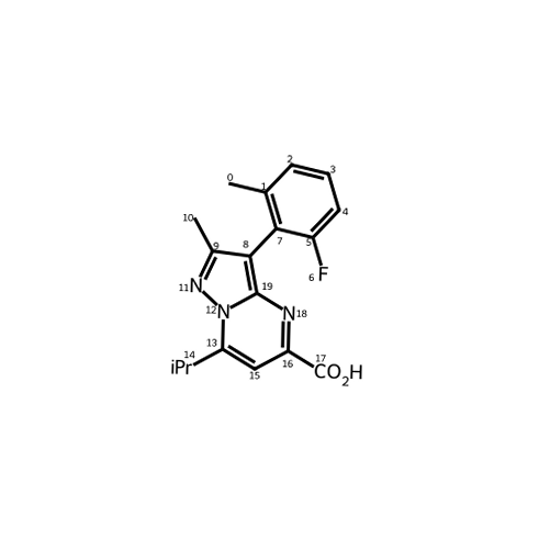 Cc1cccc(F)c1-c1c(C)nn2c(C(C)C)cc(C(=O)O)nc12